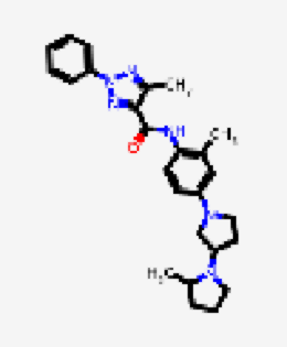 Cc1cc(N2CCC(N3CCCC3C)C2)ccc1NC(=O)c1nn(-c2ccccc2)nc1C